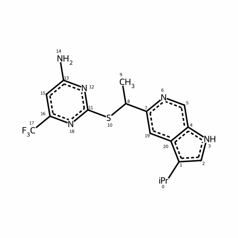 CC(C)c1c[nH]c2cnc(C(C)Sc3nc(N)cc(C(F)(F)F)n3)cc12